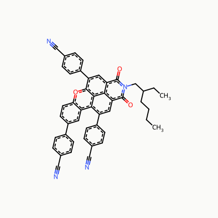 CCCCC(CC)Cn1c(=O)c2cc(-c3ccc(C#N)cc3)c3oc4ccc(-c5ccc(C#N)cc5)cc4c4c(-c5ccc(C#N)cc5)cc(c1=O)c2c34